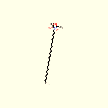 CCCCCCCCCCCCCCCCCCCCCCCC[N+]([O-])(C(C)O)C(C)O